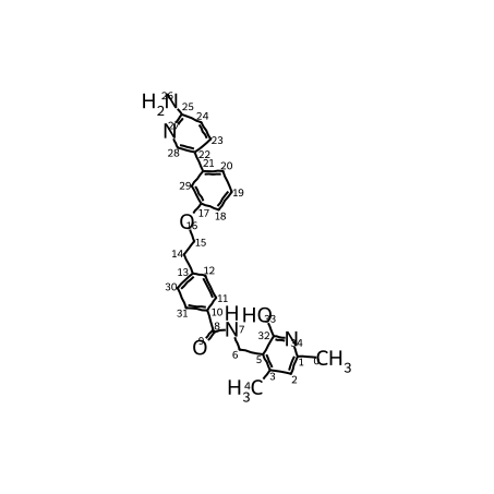 Cc1cc(C)c(CNC(=O)c2ccc(CCOc3cccc(-c4ccc(N)nc4)c3)cc2)c(O)n1